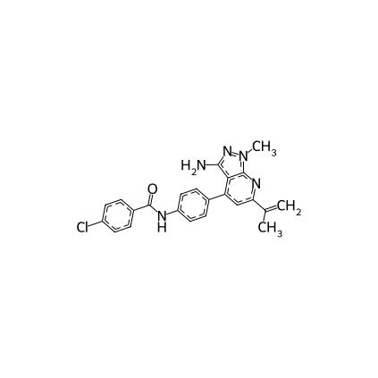 C=C(C)c1cc(-c2ccc(NC(=O)c3ccc(Cl)cc3)cc2)c2c(N)nn(C)c2n1